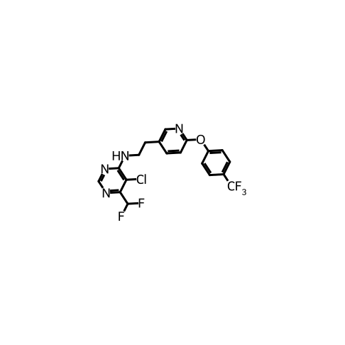 FC(F)c1ncnc(NCCc2ccc(Oc3ccc(C(F)(F)F)cc3)nc2)c1Cl